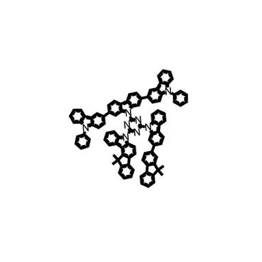 CC1(C)c2ccccc2-c2ccc(-c3ccc4c5ccccc5n(-c5nc(-n6c7cc(-c8ccc9c(c8)c8ccccc8n9-c8ccccc8)ccc7c7ccc(-c8ccc9c(c8)c8ccccc8n9-c8ccccc8)cc76)nc(-n6c7ccccc7c7c8c(ccc76)-c6ccccc6C8(C)C)n5)c4c3)cc21